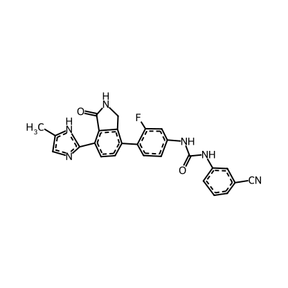 Cc1cnc(-c2ccc(-c3ccc(NC(=O)Nc4cccc(C#N)c4)cc3F)c3c2C(=O)NC3)[nH]1